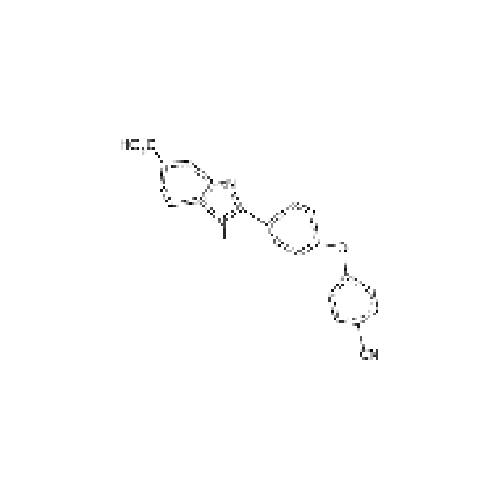 N#Cc1ccc(Oc2ccc(-c3nc4cc(C(=O)O)ccc4[nH]3)cc2)cc1